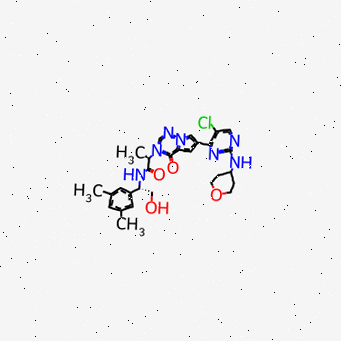 Cc1cc(C)cc([C@@H](CO)NC(=O)[C@@H](C)n2cnn3cc(-c4nc(NC5CCOCC5)ncc4Cl)cc3c2=O)c1